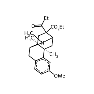 CCOC(=O)C1(C(=O)CC)C[C@]2(C)C3Cc4ccc(OC)cc4[C@]2(C)CC1N3C